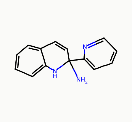 NC1(c2ccccn2)C=Cc2ccccc2N1